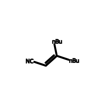 CCCCC(=CC#N)CCCC